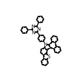 c1ccc(-c2nc(-c3ccccc3)nc(-c3ccc(-n4c5ccc6c7ccccc7sc6c5c5c6ccccc6c6ccccc6c54)cc3)n2)cc1